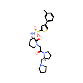 Cc1cccc(-c2csc(S(=O)(=O)N[C@H]3CCCN(CC(=O)N4CCC[C@H]4CN4CCCC4)C3=O)c2)c1